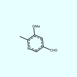 COc1cc(C=O)cnc1C